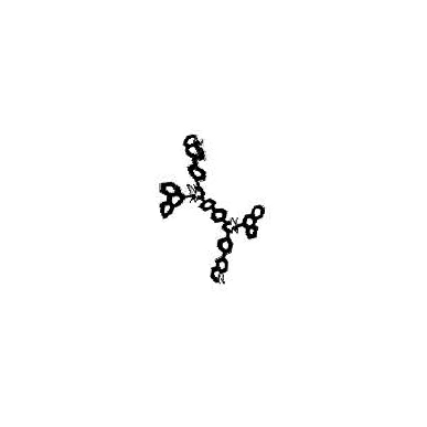 C1=Cc2c(cc(-c3nc(-c4ccc(-c5ccc(-c6cc(-c7ccc(-c8ccc9ncccc9c8)cc7)nc(-c7cc8ccccc8c8ccccc78)n6)cc5)cc4)cc(-c4ccc(-c5ccc6ncccc6c5)cc4)n3)c3ccccc23)CC1